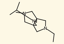 CCN1CC23CN(C)CC2(C1)CN(C(C)C)C3